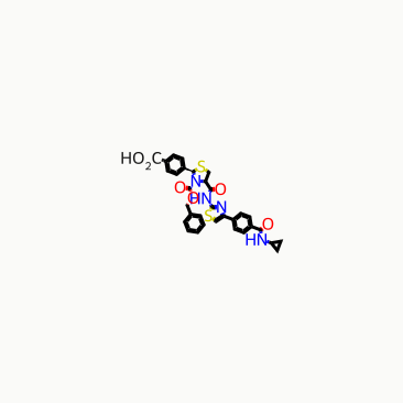 O=C(O)c1ccc([C@H]2SCC(C(=O)Nc3nc(-c4ccc(C(=O)NC5CC5)cc4)cs3)N2C(=O)OCc2ccccc2)cc1